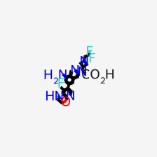 Cc1c(-c2cc3cc(N(C(=O)O)C4CN(CC(F)F)C4)ncc3c(N)c2F)cnc2c1NCCO2